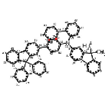 CC1(C)c2ccccc2-c2ccc(N(c3ccc(-c4ccc5c(c4)C(c4ccccc4)(c4ccccc4)c4ccccc4-5)cc3)c3ccccc3-c3ccccc3)cc21